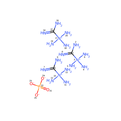 N=C(N)[N+](N)(N)N.N=C(N)[N+](N)(N)N.N=C(N)[N+](N)(N)N.O=P([O-])([O-])[O-]